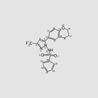 O=S(=O)(Nn1nc(C(F)(F)F)cc1-c1ccc2c(c1)CCCO2)c1ccccc1